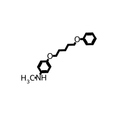 CNc1ccc(OCCCCCOc2ccccc2)cc1